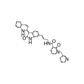 O=C1Nc2cc(C=CCNC(=O)c3cccn(Cc4cccnc4)c3=O)ccc2C1=C1C=Cc2ccccc2N1